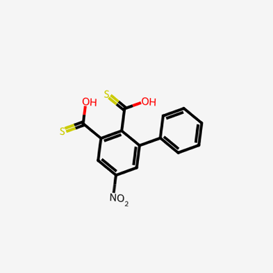 O=[N+]([O-])c1cc(C(O)=S)c(C(O)=S)c(-c2ccccc2)c1